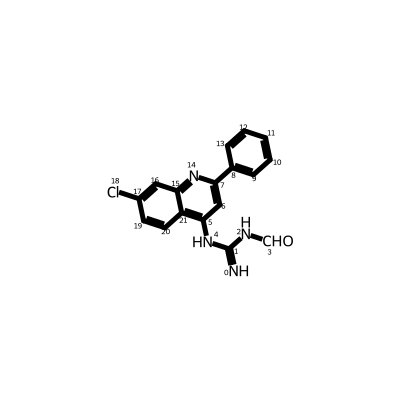 N=C(NC=O)Nc1cc(-c2ccccc2)nc2cc(Cl)ccc12